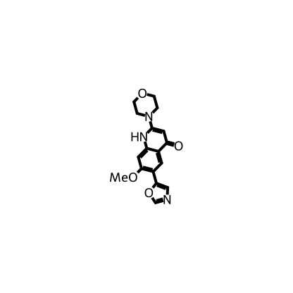 COc1cc2[nH]c(N3CCOCC3)cc(=O)c2cc1-c1cnco1